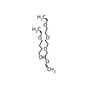 C=COCCCCO.C=COCCOCCOCCOC=C